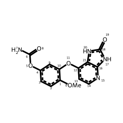 COc1ccc(OC(N)=O)cc1Oc1ccnc2[nH]c(=O)[nH]c12